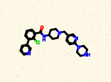 O=C(NC1CCN(Cc2ccc(N3CCNCC3)nc2)CC1)c1cccc(-c2cccnc2)c1Cl